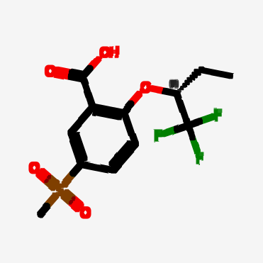 CC[C@@H](Oc1ccc(S(C)(=O)=O)cc1C(=O)O)C(F)(F)F